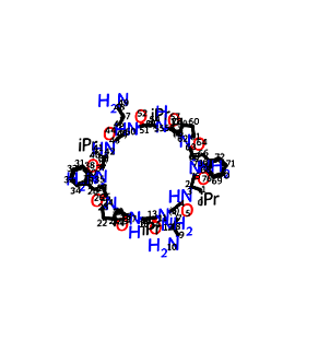 CC(C)CC1NC(=O)[C@H](CCCN)N(N)C(=O)[C@H](C(C)C)NC(=O)[C@@H]2CCCN2C(=O)[C@@H](Cc2ccccc2)N(N)C(=O)[C@H](CC(C)C)NC(=O)[C@H](CCCN)NC(=O)[C@H](C(C)C)NC(=O)[C@@H]2CCCN2C(=O)[C@@H](Cc2ccccc2)N(N)C1=O